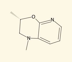 C[C@H]1CN(C)c2cccnc2O1